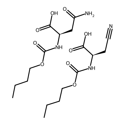 CCCCOC(=O)N[C@H](CC#N)C(=O)O.CCCCOC(=O)N[C@H](CC(N)=O)C(=O)O